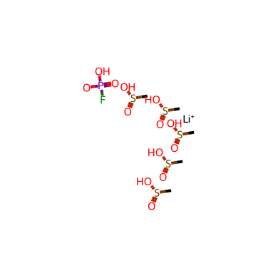 CS(=O)O.CS(=O)O.CS(=O)O.CS(=O)O.CS(=O)O.O=P([O-])(O)F.[Li+]